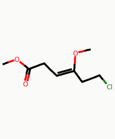 COC(=O)CC=C(CCCl)OC